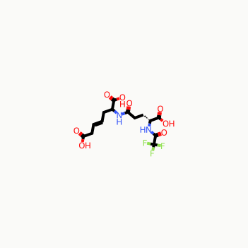 O=C(O)CC=CCC(NC(=O)CC[C@@H](NC(=O)C(F)(F)F)C(=O)O)C(=O)O